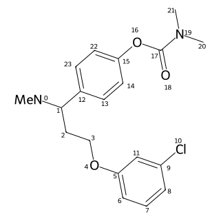 CNC(CCOc1cccc(Cl)c1)c1ccc(OC(=O)N(C)C)cc1